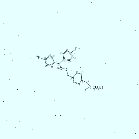 CCOC(=O)C(C)CC1CCN(CCOC(c2ccc(F)cc2)c2ccc(F)cc2)CC1